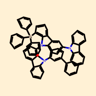 c1ccc(-c2cccc(-n3c4ccccc4c4cccc(-n5c6ccc(-n7c8ccccc8c8ccccc87)cc6c6cccc([Si](c7ccccc7)(c7ccccc7)c7ccccc7)c65)c43)c2)cc1